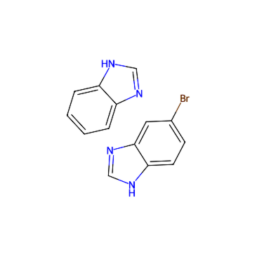 Brc1ccc2[nH]cnc2c1.c1ccc2[nH]cnc2c1